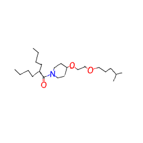 CCCCC(CCCC)C(=O)N1CCC(OCCOCCCC(C)C)CC1